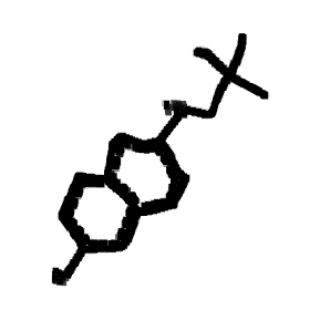 CC(C)(C)CNc1ccc2cc(Br)ccc2c1